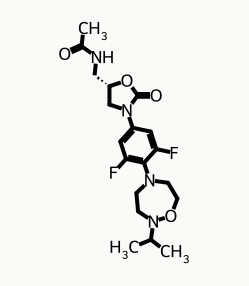 CC(=O)NC[C@H]1CN(c2cc(F)c(N3CCON(C(C)C)CC3)c(F)c2)C(=O)O1